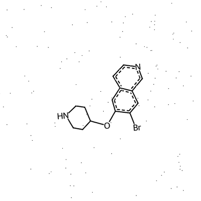 Brc1cc2cnccc2cc1OC1CCNCC1